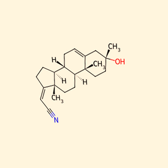 C[C@@]1(O)CC[C@@]2(C)C(=CC[C@@H]3[C@@H]2CC[C@]2(C)/C(=C\C#N)CC[C@@H]32)C1